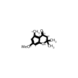 COc1cc(C)c2c(c1)OC(C)(C)CC2=O